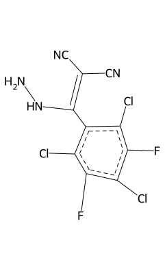 N#CC(C#N)=C(NN)c1c(Cl)c(F)c(Cl)c(F)c1Cl